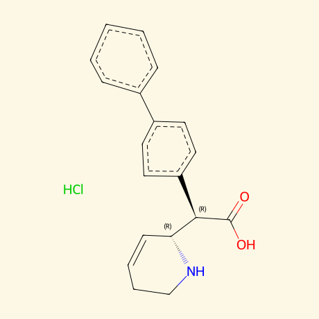 Cl.O=C(O)[C@H](c1ccc(-c2ccccc2)cc1)[C@H]1C=CCCN1